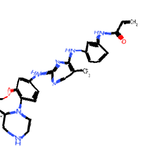 C=CC(=O)Nc1cccc(Nc2nc(Nc3ccc4c(c3)OCC[C@@H]3CNCCN43)ncc2C(F)(F)F)c1